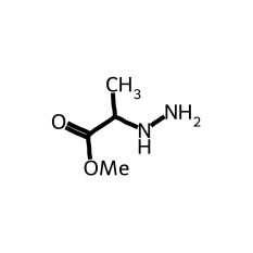 COC(=O)C(C)NN